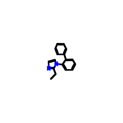 CCc1nccn1-c1ccccc1-c1ccccc1